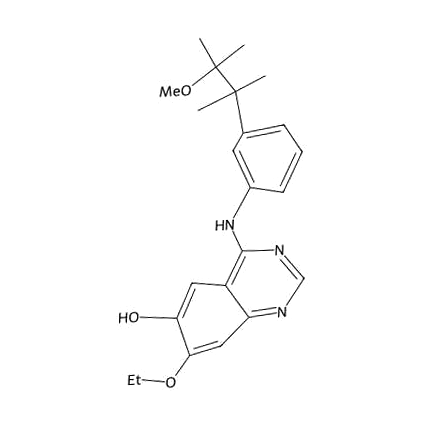 CCOc1cc2ncnc(Nc3cccc(C(C)(C)C(C)(C)OC)c3)c2cc1O